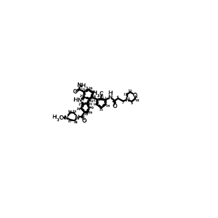 Cc1c(NC(=O)CCN2CCOCC2)cccc1-c1ccc(C(N)=O)c2[nH]c3cc(C(=O)N4CCN(C)CC4)ccc3c12